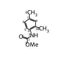 [CH2]OC(=O)Nc1ccc(C)cc1C